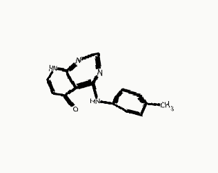 Cc1ccc(Nc2ncnc3[nH]ccc(=O)c23)cc1